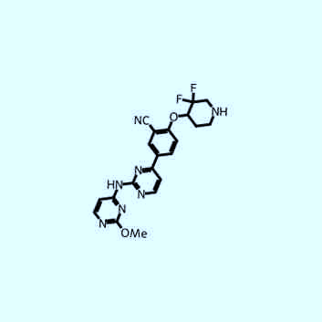 COc1nccc(Nc2nccc(-c3ccc(OC4CCNCC4(F)F)c(C#N)c3)n2)n1